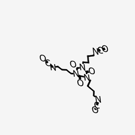 O=C=NCCCCn1c(=O)n(CCCCN=C=O)c(=O)n(CCCCN=C=O)c1=O